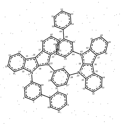 c1ccc(-c2cccc(-n3c4ccccc4c4c5ccccc5n(-c5cccc(-n6c7ccccc7c7c8ccccc8n(-c8cccc(-c9ccccc9)c8)c76)c5)c43)c2)cc1